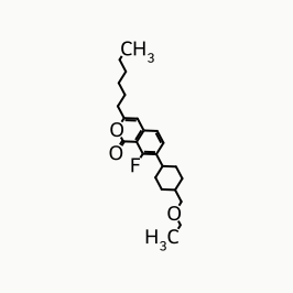 CCCCCCc1cc2ccc(C3CCC(COCC)CC3)c(F)c2c(=O)o1